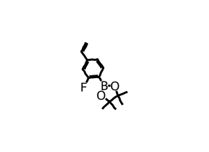 C=Cc1ccc(B2OC(C)(C)C(C)(C)O2)c(F)c1